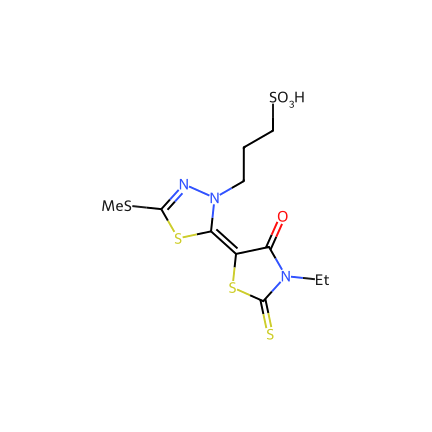 CCN1C(=O)/C(=C2/SC(SC)=NN2CCCS(=O)(=O)O)SC1=S